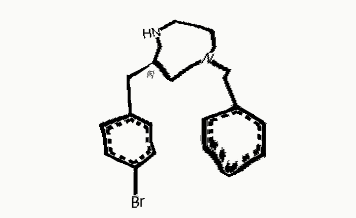 Brc1ccc(C[C@@H]2CN(Cc3ccccc3)CCN2)cc1